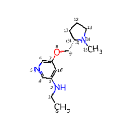 CCNc1cncc(OC[C@@H]2CCCN2C)c1